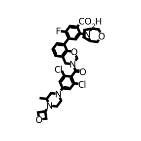 CC1CN(c2cc(Cl)c(C(=O)N3COc4c(cccc4-c4cc(N5C6CCC5COC6)c(C(=O)O)cc4F)C3)c(Cl)c2)CCN1C1COC1